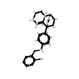 Clc1ccccc1COc1ccc(C23CCC(CC2)N2CCSN=C23)cc1